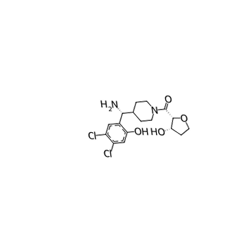 N[C@@H](c1cc(Cl)c(Cl)cc1O)C1CCN(C(=O)[C@@H]2OCC[C@@H]2O)CC1